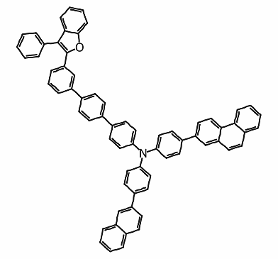 c1ccc(-c2c(-c3cccc(-c4ccc(-c5ccc(N(c6ccc(-c7ccc8ccccc8c7)cc6)c6ccc(-c7ccc8c(ccc9ccccc98)c7)cc6)cc5)cc4)c3)oc3ccccc23)cc1